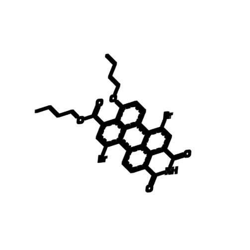 CCCCOC(=O)c1cc(Br)c2c3ccc4c5c(cc(Br)c(c6ccc(OCCCC)c1c62)c53)C(=O)NC4=O